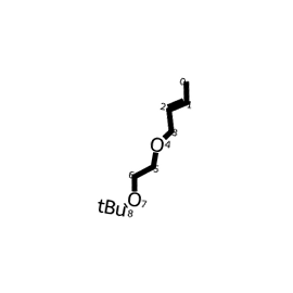 C/C=C/COCCOC(C)(C)C